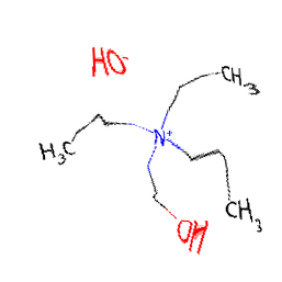 CC[N+](CC)(CC)CO.[OH-]